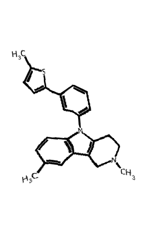 Cc1ccc2c(c1)c1c(n2-c2cccc(-c3ccc(C)s3)c2)CCN(C)C1